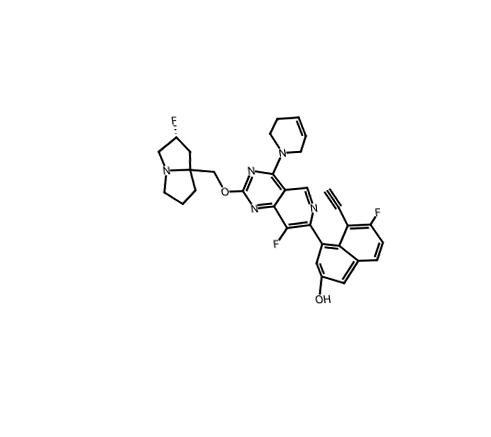 C#Cc1c(F)ccc2cc(O)cc(-c3ncc4c(N5CC=CCC5)nc(OCC56CCCN5C[C@H](F)C6)nc4c3F)c12